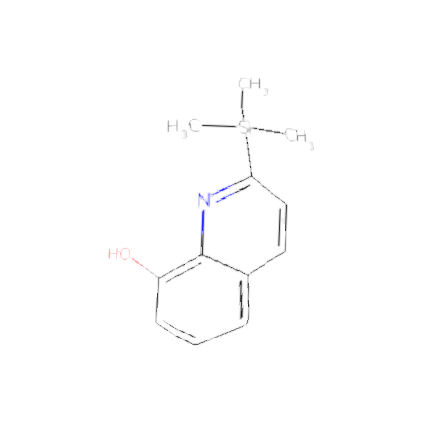 C[Si](C)(C)c1ccc2cccc(O)c2n1